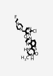 C[C@@H]1CNc2c(sc3ccc4nc(Oc5nc(Cl)ncc5CN5CCN(CCF)CC5)cnc4c23)C(=O)N1